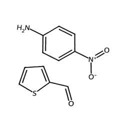 Nc1ccc([N+](=O)[O-])cc1.O=Cc1cccs1